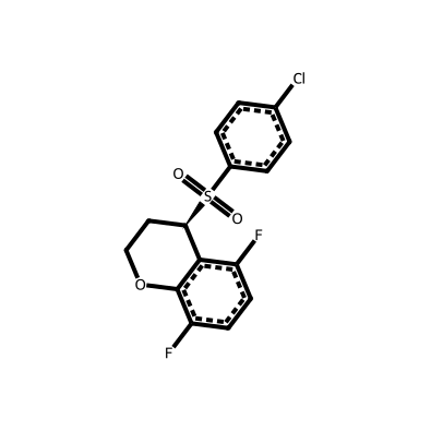 O=S(=O)(c1ccc(Cl)cc1)[C@@H]1CCOc2c(F)ccc(F)c21